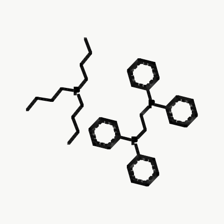 CCCCP(CCCC)CCCC.c1ccc(P(CCP(c2ccccc2)c2ccccc2)c2ccccc2)cc1